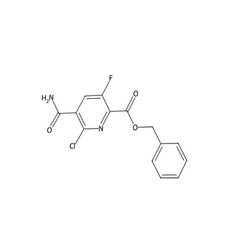 NC(=O)c1cc(F)c(C(=O)OCc2ccccc2)nc1Cl